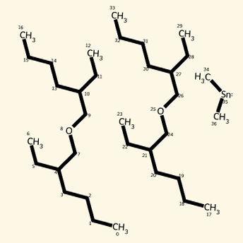 CCCCC(CC)COCC(CC)CCCC.CCCCC(CC)COCC(CC)CCCC.[CH3][Sn][CH3]